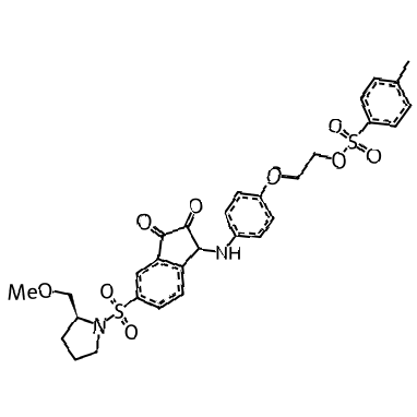 COC[C@@H]1CCCN1S(=O)(=O)c1ccc2c(c1)C(=O)C(=O)C2Nc1ccc(OCCOS(=O)(=O)c2ccc(C)cc2)cc1